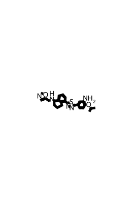 CC(C)Oc1ccc(-c2nnc(-c3cccc4c3CCC[C@H]4NCc3cnco3)s2)cc1N